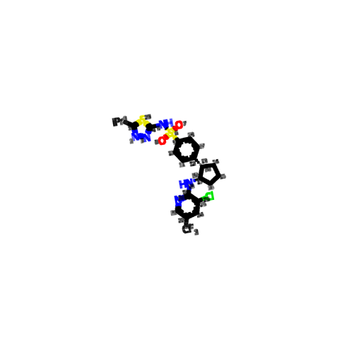 CC(C)c1nnc(NS(=O)(=O)c2ccc([C@@H]3CCC[C@@H]3Nc3ncc(C(F)(F)F)cc3Cl)cc2)s1